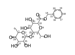 CC1O[C@@H](O[C@@H]2C(CO)OC(C(=O)OCc3ccccc3)C(O)C2O)C(O)C(O)C1=O